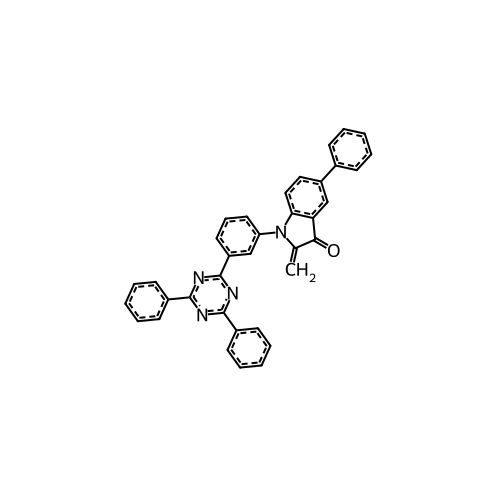 C=C1C(=O)c2cc(-c3ccccc3)ccc2N1c1cccc(-c2nc(-c3ccccc3)nc(-c3ccccc3)n2)c1